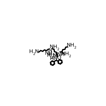 NCCCCC(N)CNC(N)CCCC(N)(NCC(N)CCCCN)C(=O)NC(c1ccccc1)c1ccccc1